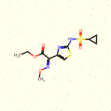 CCOC(=O)/C(=N\OC)c1csc(NS(=O)(=O)C2CC2)n1